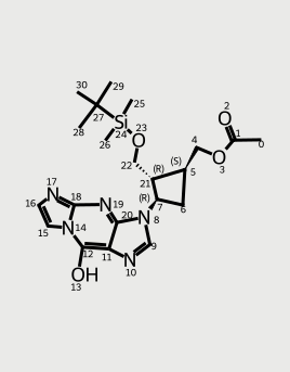 CC(=O)OC[C@H]1C[C@@H](n2cnc3c(O)n4ccnc4nc32)[C@@H]1CO[Si](C)(C)C(C)(C)C